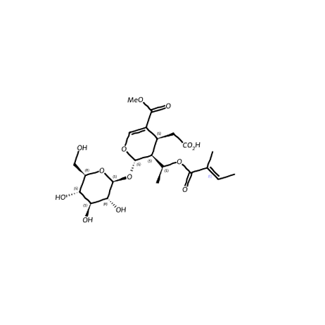 C/C=C(\C)C(=O)O[C@@H](C)[C@H]1[C@H](O[C@@H]2O[C@H](CO)[C@@H](O)[C@H](O)[C@H]2O)OC=C(C(=O)OC)[C@H]1CC(=O)O